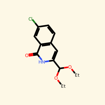 CCOC(OCC)c1cc2ccc(Cl)cc2c(=O)[nH]1